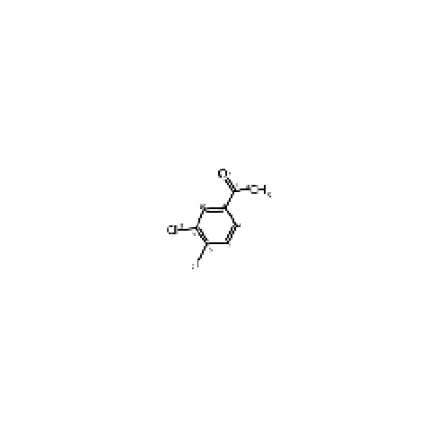 CC(=O)c1ccc(I)c(Cl)c1